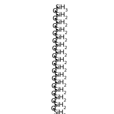 [SiH2]O[SiH2]O[SiH2]O[SiH2]O[SiH2]O[SiH2]O[SiH2]O[SiH2]O[SiH2]O[SiH2]O[SiH2]O[SiH2]O[SiH2]O[SiH2]O[SiH3]